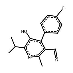 Cc1nc(C(C)C)c(O)c(-c2ccc(F)cc2)c1C=O